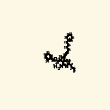 CCCCc1nc(N)c2c(n1)c(C#CCCCCN1CCCCC1)cn2COCc1ccccc1